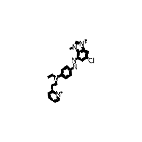 CCN(CCc1cccc[n+]1C)c1ccc(N=Nc2cc(Cl)cc3c2n(C)c[n+]3C)cc1